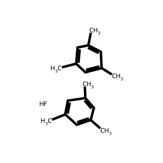 Cc1cc(C)cc(C)c1.Cc1cc(C)cc(C)c1.F